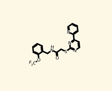 O=C(CSc1nccc(-c2ccccn2)n1)NCc1ccccc1OC(F)(F)F